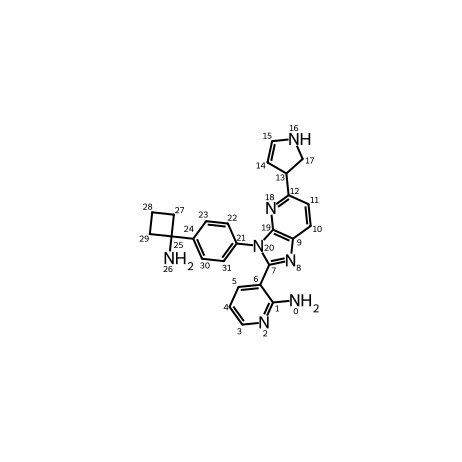 Nc1ncccc1-c1nc2ccc(C3C=CNC3)nc2n1-c1ccc(C2(N)CCC2)cc1